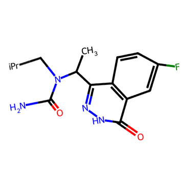 CC(C)CN(C(N)=O)C(C)c1n[nH]c(=O)c2cc(F)ccc12